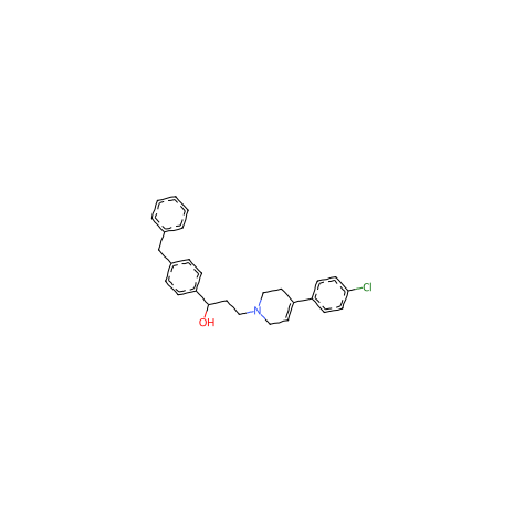 OC(CCN1CC=C(c2ccc(Cl)cc2)CC1)c1ccc(Cc2ccccc2)cc1